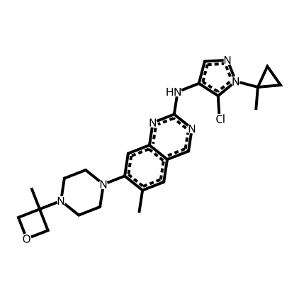 Cc1cc2cnc(Nc3cnn(C4(C)CC4)c3Cl)nc2cc1N1CCN(C2(C)COC2)CC1